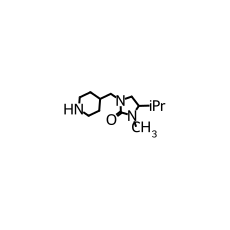 CC(C)C1CN(CC2CCNCC2)C(=O)N1C